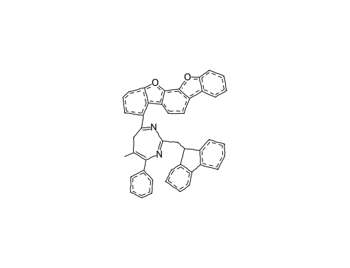 CC1=C(c2ccccc2)N=C(CC2c3ccccc3-c3ccccc32)N=C(c2cccc3oc4c(ccc5c6ccccc6oc54)c23)C1